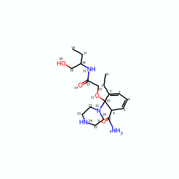 CCC1=CC=CC(C(N)=O)C1(OCC(=O)NC(CC)CO)N1CCNCC1